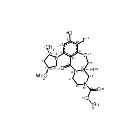 CO[C@H]1C[C@H](C)N(c2nc(Cl)c(F)c3c2C(=O)N2CCN(C(=O)OC(C)(C)C)C[C@@H]2CO3)C1